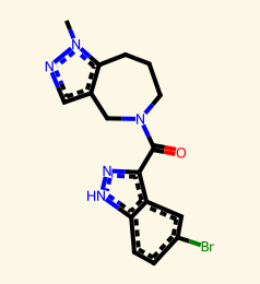 Cn1ncc2c1CCCN(C(=O)c1n[nH]c3ccc(Br)cc13)C2